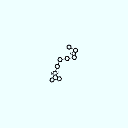 c1ccc(-c2cccc3c2oc2c(-c4ccc(-c5cccc(-c6ccc(-c7cnc8c9ccccc9c9ccccc9c8n7)cc6)c5)cc4)cccc23)cc1